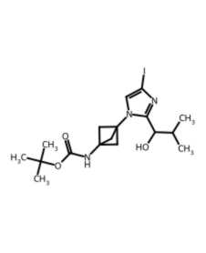 CC(C)C(O)c1nc(I)cn1C12CC(NC(=O)OC(C)(C)C)(C1)C2